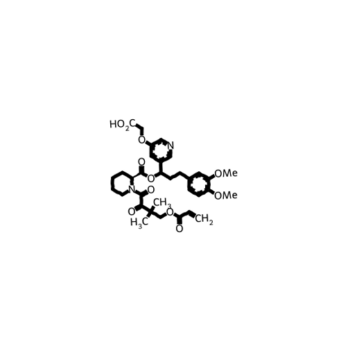 C=CC(=O)OCC(C)(C)C(=O)C(=O)N1CCCC[C@H]1C(=O)OC(CCc1ccc(OC)c(OC)c1)c1cncc(OCC(=O)O)c1